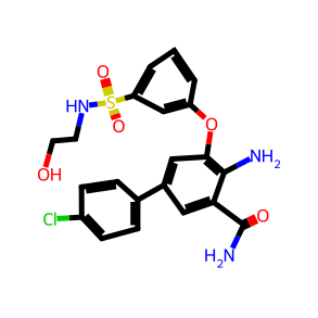 NC(=O)c1cc(-c2ccc(Cl)cc2)cc(Oc2cccc(S(=O)(=O)NCCO)c2)c1N